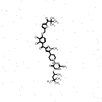 CC(C[C@@H](NC(=N)N)C(=O)NN1CCC(c2cc(C(=O)c3ccc(OCc4ccc(C(=O)C(C)(C)C)o4)c(Cl)c3Cl)nn2C)CC1)CC(C)(C)C